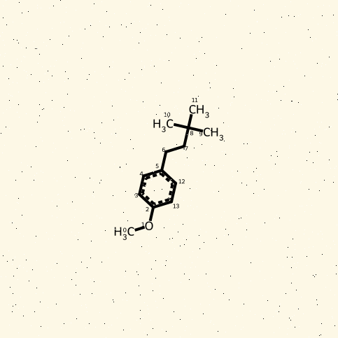 COc1ccc(C[CH]C(C)(C)C)cc1